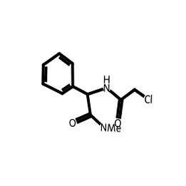 CNC(=O)C(NC(=O)CCl)c1ccccc1